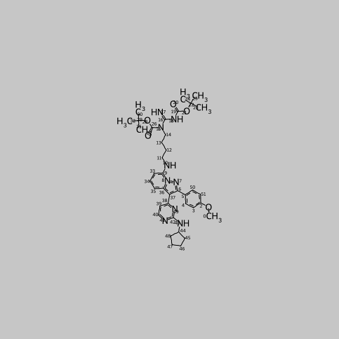 COc1ccc(-c2nn3c(NCCCCN(C(=N)NC(=O)OC(C)(C)C)C(=O)OC(C)(C)C)cccc3c2-c2ccnc(NC3CCCC3)n2)cc1